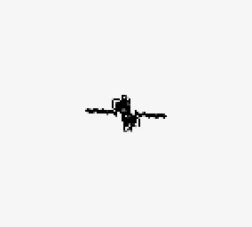 CCCCCCCCn1c(=O)c(Br)cc2c1cc(Br)c(=O)n2CCCCCCCC